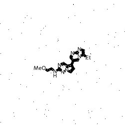 CCc1cnc2ncc(-c3ccn4nc(NCCOC)ncc34)cn12